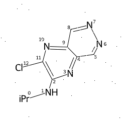 CC(C)Nc1nc2cnncc2nc1Cl